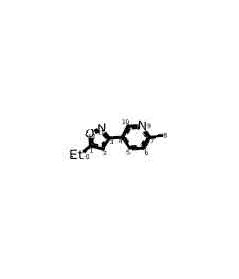 CCc1cc(-c2ccc(C)nc2)no1